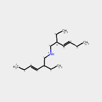 CC/C=C/C(CC)CNCC(/C=C/CC)CC